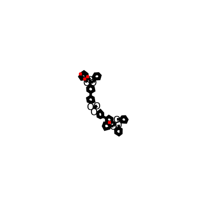 O=C(Oc1ccc(-c2ccc(C(Oc3ccccc3)(Oc3ccccc3)Oc3ccccc3)cc2)cc1)Oc1ccc(-c2ccc(C(Oc3ccccc3)(Oc3ccccc3)Oc3ccccc3)cc2)cc1